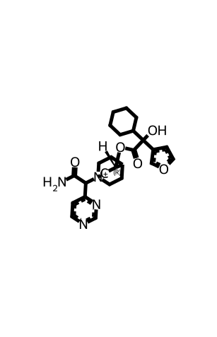 NC(=O)C(c1ccncn1)[N+]12CCC(CC1)[C@@H](OC(=O)C(O)(c1ccoc1)C1CCCCC1)C2